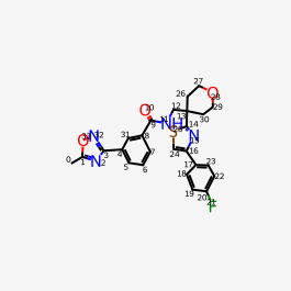 Cc1nc(-c2cccc(C(=O)NCC3(c4nc(-c5ccc(F)cc5)cs4)CCOCC3)c2)no1